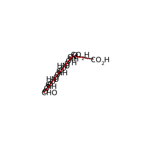 O=CCOCCOCCNC(=O)COCCOCCNC(=O)COCCOCCNC(=O)COCCOCCNC(=O)COCCOCCNC(=O)CC[C@H](NC(=O)CCCCCCCCCCCCCCCCCCC(=O)O)C(=O)O